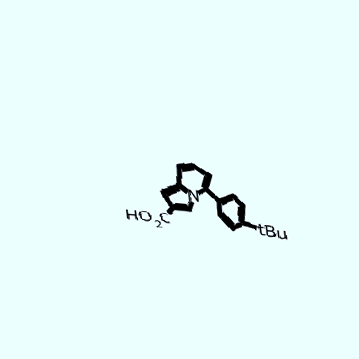 CC(C)(C)c1ccc(-c2cccc3cc(C(=O)O)cn23)cc1